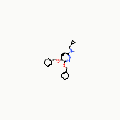 CN(CC1CC1)C1=NN=C(OCC2=CC=CCC2)C(OCC2=CCCC=C2)C#C1